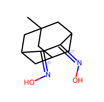 CC12CC3CC(C1)C(=N/O)/C(=N/O)C(C3)C2